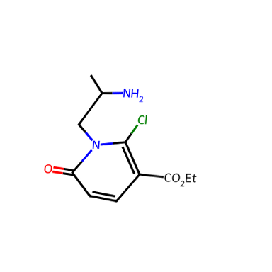 CCOC(=O)c1ccc(=O)n(CC(C)N)c1Cl